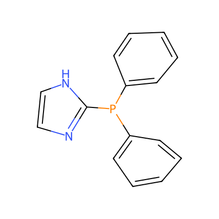 c1ccc(P(c2ccccc2)c2ncc[nH]2)cc1